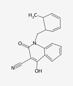 CC1C=CC=CC1Cn1c(=O)c(C#N)c(O)c2ccccc21